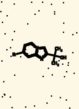 CC(C)(O)c1cn2ccc(Br)cc2n1